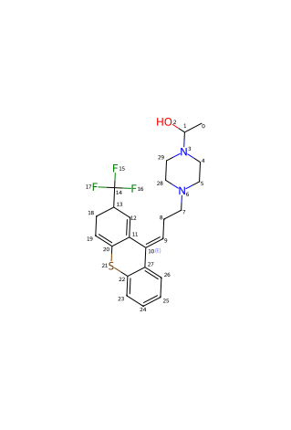 CC(O)N1CCN(CC/C=C2\C3=CC(C(F)(F)F)CC=C3Sc3ccccc32)CC1